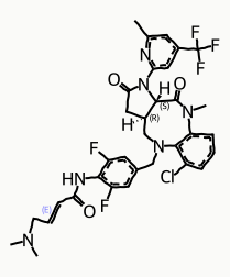 Cc1cc(C(F)(F)F)cc(N2C(=O)C[C@@H]3CN(Cc4cc(F)c(NC(=O)/C=C/CN(C)C)c(F)c4)c4c(Cl)cccc4N(C)C(=O)[C@H]32)n1